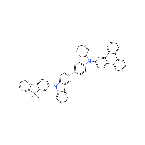 CC1(C)c2ccccc2-c2ccc(-n3c4ccccc4c4cc(-c5ccc6c(c5)c5c(n6-c6ccc7c8ccccc8c8ccccc8c7c6)C=CCC5)ccc43)cc21